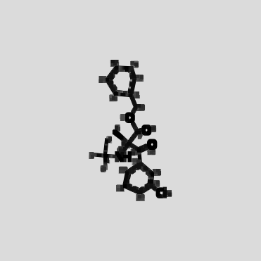 CC(C)(C)N[C@](C)(C(=O)OCc1ccccc1)C(=O)c1cccc(Cl)c1